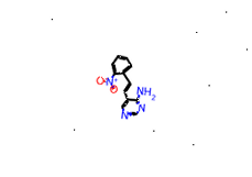 Nc1ncncc1/C=C/c1ccccc1[N+](=O)[O-]